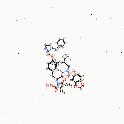 CC(C)CN(C[C@H]1OC(C)(C)N(C(=O)O)[C@H]1Cc1ccc(OCc2nccn2Cc2ccccc2)cc1)S(=O)(=O)c1ccc2c(c1)OCO2